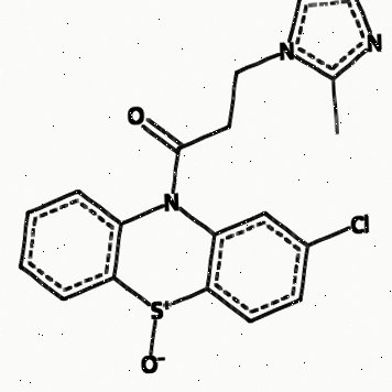 Cc1nccn1CCC(=O)N1c2ccccc2[S+]([O-])c2ccc(Cl)cc21